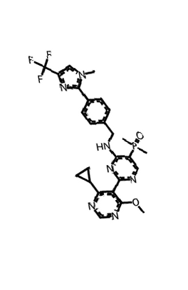 COc1ncnc(C2CC2)c1-c1ncc(P(C)(C)=O)c(NCc2ccc(-c3nc(C(F)(F)F)cn3C)cc2)n1